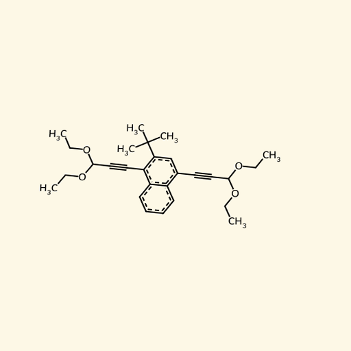 CCOC(C#Cc1cc(C(C)(C)C)c(C#CC(OCC)OCC)c2ccccc12)OCC